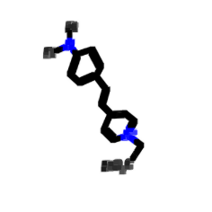 CCOC(=O)C[n+]1ccc(/C=C/c2ccc(N(CC)CC)cc2)cc1